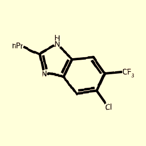 CCCc1nc2cc(Cl)c(C(F)(F)F)cc2[nH]1